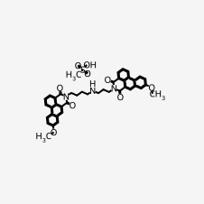 COc1ccc2c(c1)cc1c3c(cccc32)C(=O)N(CCCCNCCCN2C(=O)c3cccc4c3c(cc3cc(OC)ccc34)C2=O)C1=O.CS(=O)(=O)O